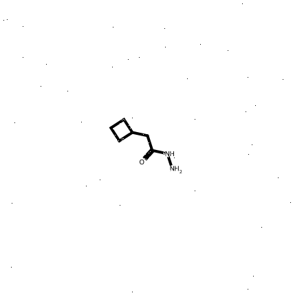 NNC(=O)CC1CCC1